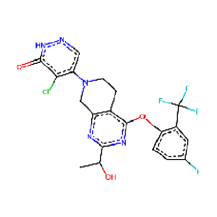 CC(O)c1nc2c(c(Oc3ccc(F)cc3C(F)(F)F)n1)CCN(c1cn[nH]c(=O)c1Cl)C2